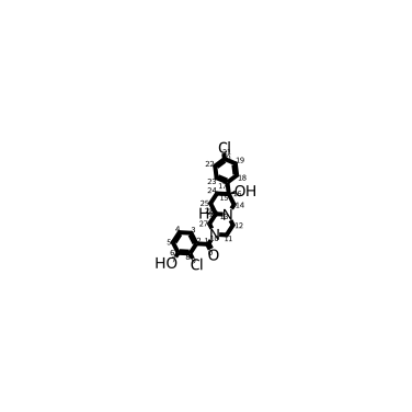 O=C(c1cccc(O)c1Cl)N1CCN2C[C@@](O)(c3ccc(Cl)cc3)CC[C@@H]2C1